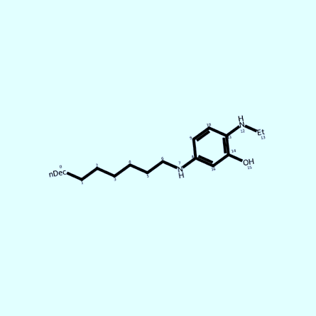 CCCCCCCCCCCCCCCCNc1ccc(NCC)c(O)c1